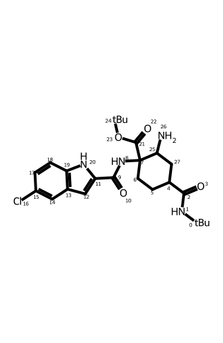 CC(C)(C)NC(=O)C1CCC(NC(=O)c2cc3cc(Cl)ccc3[nH]2)(C(=O)OC(C)(C)C)C(N)C1